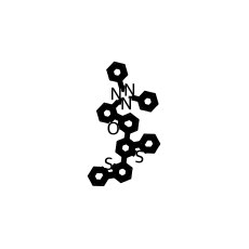 c1ccc(-c2nc(-c3ccccc3)nc(-c3cccc4oc5c(-c6ccc(-c7cccc8c7sc7ccccc78)c7sc8ccccc8c67)cccc5c34)n2)cc1